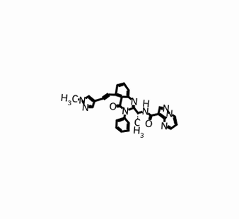 C[C@@H](NC(=O)c1cnn2cccnc12)c1nc2cccc(C#Cc3cnn(C)c3)c2c(=O)n1-c1ccccc1